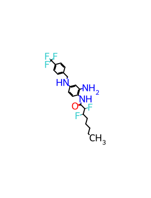 CCCCC[C@@H](F)[C@H](F)C(=O)Nc1ccc(NCc2ccc(C(F)(F)F)cc2)cc1N